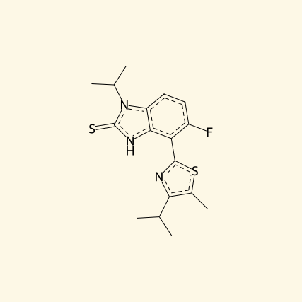 Cc1sc(-c2c(F)ccc3c2[nH]c(=S)n3C(C)C)nc1C(C)C